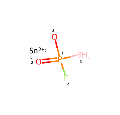 [BH3-]P(=O)([O-])F.[Sn+2]